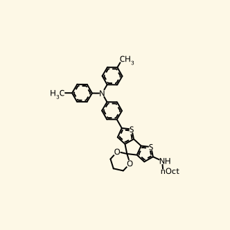 CCCCCCCCNc1cc2c(s1)-c1sc(-c3ccc(N(c4ccc(C)cc4)c4ccc(C)cc4)cc3)cc1C21OCCCO1